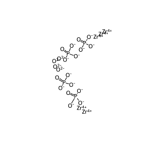 O=P([O-])([O-])[O-].O=P([O-])([O-])[O-].O=P([O-])([O-])[O-].O=P([O-])([O-])[O-].[O-2].[O-2].[O-2].[O-2].[Zr+4].[Zr+4].[Zr+4].[Zr+4].[Zr+4]